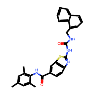 Cc1cc(C)c(NC(=O)c2ccc3nc(NC(=O)NCc4cccc5ccccc45)sc3c2)c(C)c1